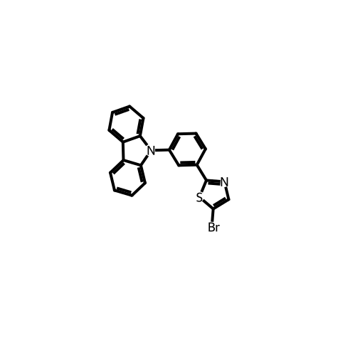 Brc1cnc(-c2cccc(-n3c4ccccc4c4ccccc43)c2)s1